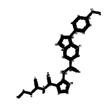 CCOC(=O)NC(=O)c1ccsc1NC(=O)c1cnc2c(-c3ccc(OC)cc3)cnn2c1